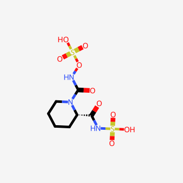 O=C(NS(=O)(=O)O)[C@@H]1CCCCN1C(=O)NOS(=O)(=O)O